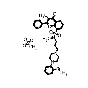 COc1ccccc1N1CCN(CCCN(C)S(=O)(=O)c2cccc3c(=O)c(C)c(-c4ccccc4)oc23)CC1.CS(=O)(=O)O